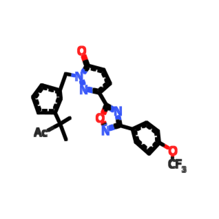 CC(=O)C(C)(C)c1cccc(Cn2nc(-c3nc(-c4ccc(OC(F)(F)F)cc4)no3)ccc2=O)c1